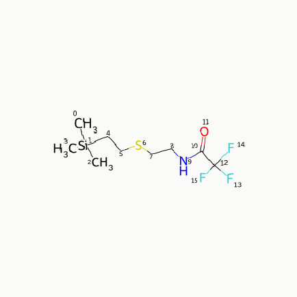 C[Si](C)(C)CCSCCNC(=O)C(F)(F)F